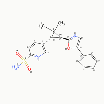 CC1(C)[C@@H](c2ccc(S(N)(=O)=O)nc2)[C@@H]1c1ncc(-c2ccccc2)o1